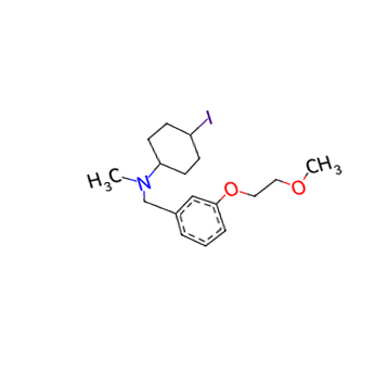 COCCOc1cccc(CN(C)C2CCC(I)CC2)c1